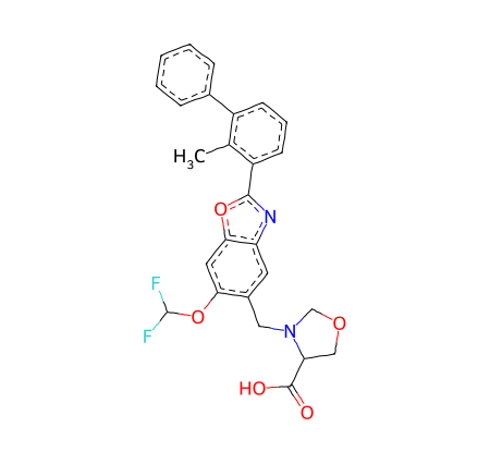 Cc1c(-c2ccccc2)cccc1-c1nc2cc(CN3COCC3C(=O)O)c(OC(F)F)cc2o1